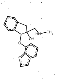 CNCC1(O)Cc2ccccc2C1Oc1cccc2ccsc12